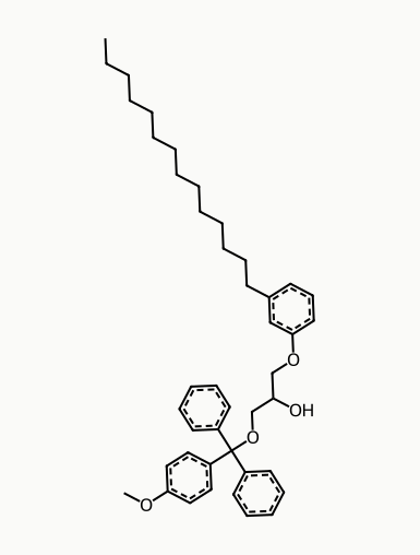 CCCCCCCCCCCCCCc1cccc(OCC(O)COC(c2ccccc2)(c2ccccc2)c2ccc(OC)cc2)c1